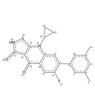 Cc1cc(C)cc(-c2cc3c(cc2F)c(=O)c2c(=O)[nH]sc2n3C2CC2)c1